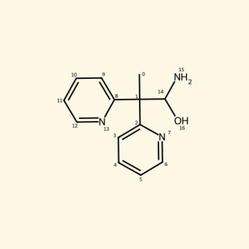 CC(c1ccccn1)(c1ccccn1)C(N)O